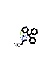 N#CCc1cn(C(c2ccccc2)(c2ccccc2)c2ccccc2)c(F)n1